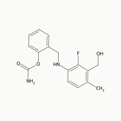 Cc1ccc(NCc2ccccc2OC(N)=O)c(F)c1CO